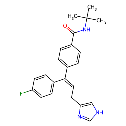 CC(C)(C)NC(=O)c1ccc(/C(=C/Cc2c[nH]cn2)c2ccc(F)cc2)cc1